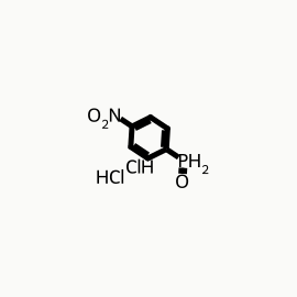 Cl.Cl.O=[PH2]c1ccc([N+](=O)[O-])cc1